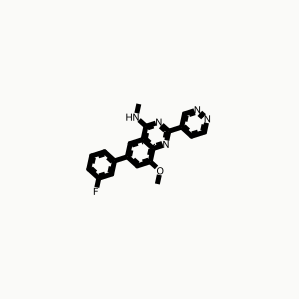 CNc1nc(-c2ccnnc2)nc2c(OC)cc(-c3cccc(F)c3)cc12